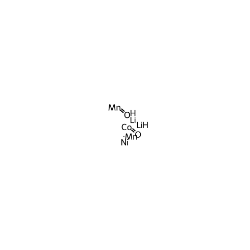 [LiH].[LiH].[Mn].[Ni].[O]=[Co].[O]=[Mn]